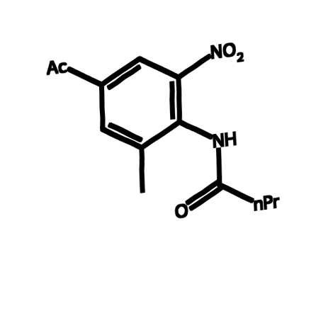 CCCC(=O)Nc1c(C)cc(C(C)=O)cc1[N+](=O)[O-]